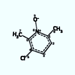 Cc1c[c]c(Cl)c(C)[n+]1[O-]